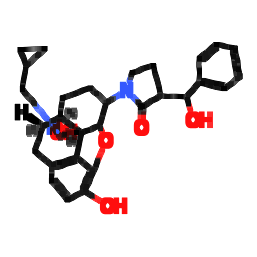 O=C1C(C(O)c2ccccc2)CCN1C1CC[C@@]2(O)[C@H]3Cc4ccc(O)c5c4[C@@]2(CCN3CC2CC2)C1O5